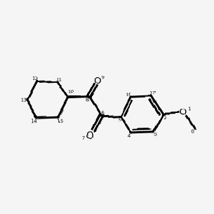 COc1ccc(C(=O)C(=O)C2CCCCC2)cc1